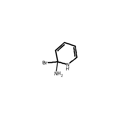 NC1(Br)C=CC=CN1